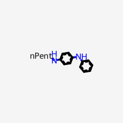 CCCCCNc1ccc(Nc2ccccc2)cc1